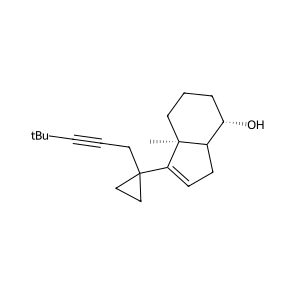 CC(C)(C)C#CCC1(C2=CCC3[C@@H](O)CCC[C@]23C)CC1